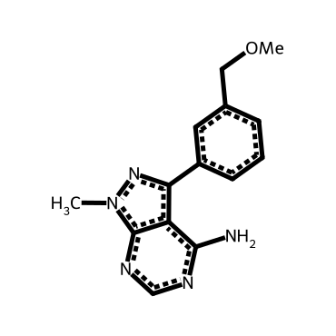 COCc1cccc(-c2nn(C)c3ncnc(N)c23)c1